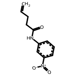 C=CCCC(=O)Nc1cccc([N+](=O)[O-])c1